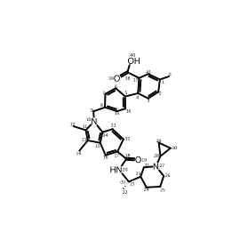 Cc1ccc(-c2ccc(Cn3c(C)c(C)c4cc(C(=O)N[C@@H](C)C5CCCN(C6CC6)C5)ccc43)cc2)c(C(=O)O)c1